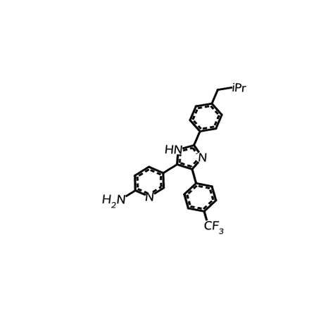 CC(C)Cc1ccc(-c2nc(-c3ccc(C(F)(F)F)cc3)c(-c3ccc(N)nc3)[nH]2)cc1